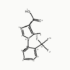 Cc1c(C(=O)O)ncn1-c1ccccc1C(F)(F)F